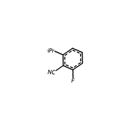 C[C](C)c1cccc(F)c1C#N